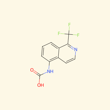 O=C(O)Nc1cccc2c(C(F)(F)F)nccc12